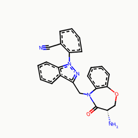 N#Cc1ccccc1-n1nc(CN2C(=O)[C@@H](N)COc3ccccc32)c2ccccc21